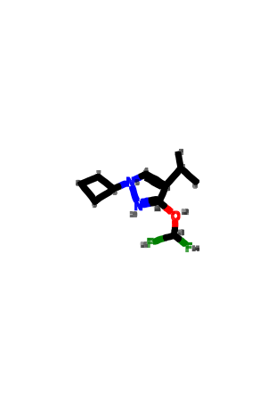 CC(C)c1cn(C2CCC2)nc1OC(F)F